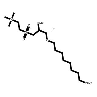 CCCCCCCCCCCCCCCCCCOCC(CS(=O)(=O)CC[N+](C)(C)C)OC.[I-]